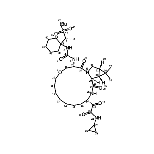 C[C@H](C1(NC(=O)N[C@H]2COCCCCCCC[C@@H](C(=O)C(=O)NC3CC3)NC(=O)[C@@H]3[C@@H]4[C@H](CN3C2=O)C4(C)C)CCCCC1)S(=O)(=O)C(C)(C)C